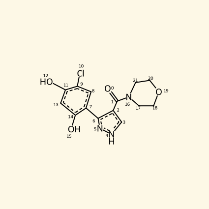 O=C(c1c[nH]nc1-c1cc(Cl)c(O)cc1O)N1CCOCC1